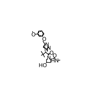 CNC(=O)[C@H]1CC(O)CN1C(=O)C(n1cc(COc2cccc(OC)c2)nn1)C(C)(C)C